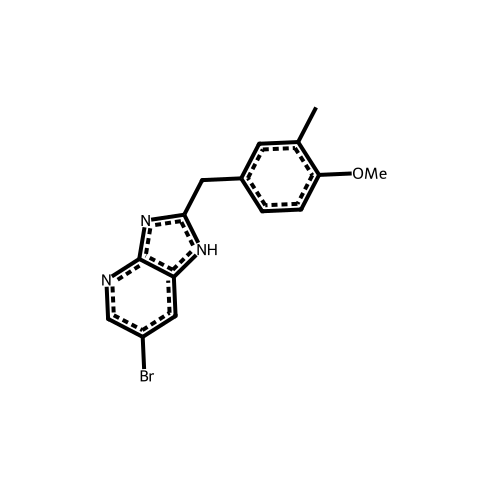 COc1ccc(Cc2nc3ncc(Br)cc3[nH]2)cc1C